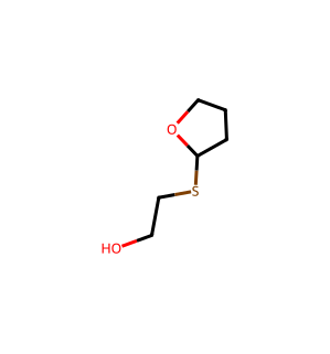 OCCSC1CCCO1